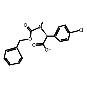 CN(C(=O)OCc1ccccc1)[C@H](C(=O)O)c1ccc(Cl)cc1